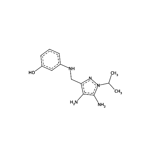 CC(C)n1nc(CNc2cccc(O)c2)c(N)c1N